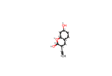 C#Cc1cc2ccc(O)cc2oc1=O